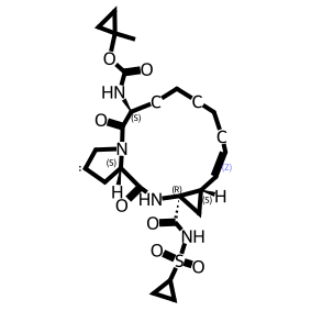 CC1(OC(=O)N[C@H]2CCCCC/C=C\[C@@H]3C[C@@]3(C(=O)NS(=O)(=O)C3CC3)NC(=O)[C@@H]3C[C]CN3C2=O)CC1